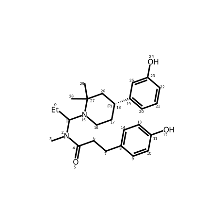 CCC(N(C)C(=O)CCc1ccc(O)cc1)N1CC[C@@H](c2cccc(O)c2)CC1(C)C